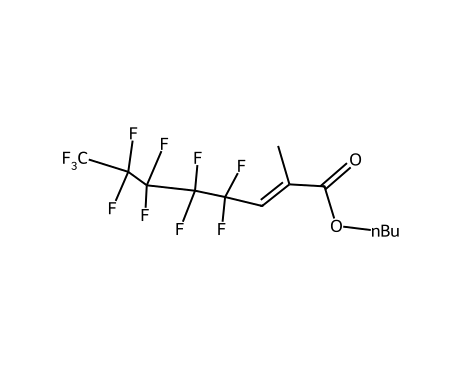 CCCCOC(=O)C(C)=CC(F)(F)C(F)(F)C(F)(F)C(F)(F)C(F)(F)F